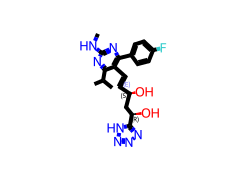 CNc1nc(-c2ccc(F)cc2)c(/C=C/[C@@H](O)C[C@@H](O)c2nnn[nH]2)c(C(C)C)n1